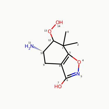 CC1(C)c2onc(O)c2C[C@H](N)C1OO